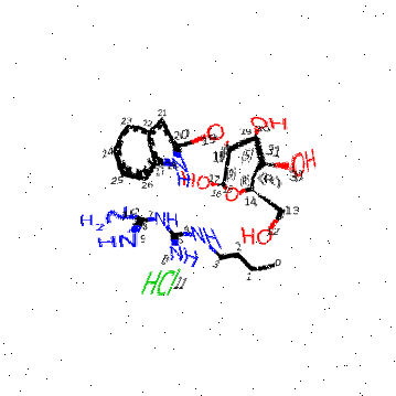 CCCCNC(=N)NC(=N)N.Cl.OC[C@H]1O[C@@H](O)[C@H](Oc2cc3ccccc3[nH]2)[C@@H](O)[C@H]1O